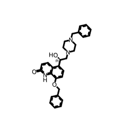 O=c1ccc2c([C@@H](O)CN3CCN(Cc4ccccc4)CC3)ccc(OCc3ccccc3)c2[nH]1